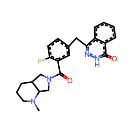 CN1CCCC2CN(C(=O)c3cc(Cc4n[nH]c(=O)c5ccccc45)ccc3F)CC21